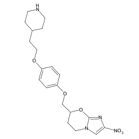 O=[N+]([O-])c1cn2c(n1)OC(COc1ccc(OCCC3CCNCC3)cc1)CC2